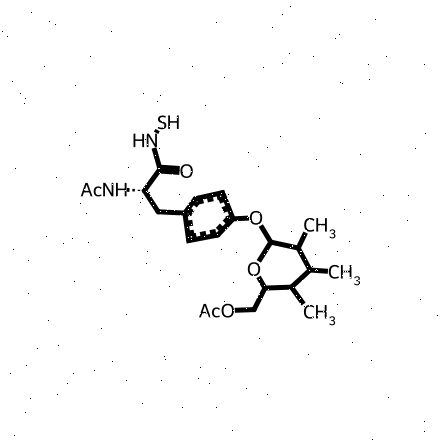 CC(=O)N[C@@H](Cc1ccc(OC2OC(COC(C)=O)C(C)C(C)C2C)cc1)C(=O)NS